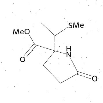 COC(=O)C1(C(C)SC)CCC(=O)N1